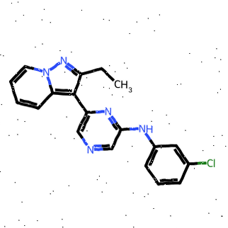 CCc1nn2ccccc2c1-c1cncc(Nc2cccc(Cl)c2)n1